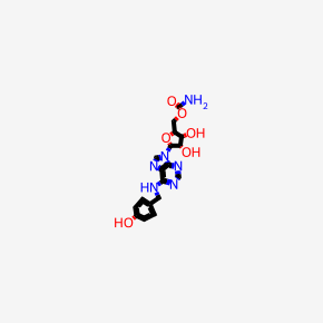 NC(=O)OCC1OC(n2cnc3c(NCc4ccc(O)cc4)ncnc32)C(O)C1O